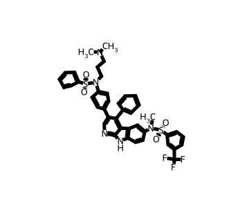 CN(C)CCCN(c1ccc(-c2cnc3[nH]c4ccc(N(C)S(=O)(=O)c5cccc(C(F)(F)F)c5)cc4c3c2-c2ccccc2)cc1)S(=O)(=O)c1ccccc1